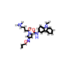 C=CCON=C1C[C@@H](C(=O)Nc2ccc3c(c2)c2ccccc2n3CC)N(C(=O)CCCN(C)C)C1